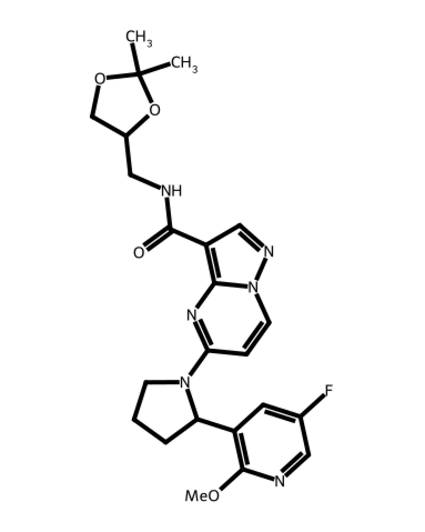 COc1ncc(F)cc1C1CCCN1c1ccn2ncc(C(=O)NCC3COC(C)(C)O3)c2n1